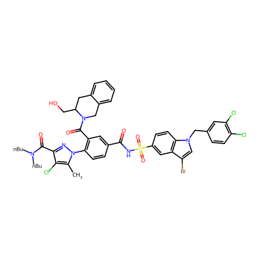 CCCCN(CCCC)C(=O)c1nn(-c2ccc(C(=O)NS(=O)(=O)c3ccc4c(c3)c(Br)cn4Cc3ccc(Cl)c(Cl)c3)cc2C(=O)N2Cc3ccccc3CC2CO)c(C)c1Cl